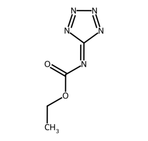 CCOC(=O)N=C1N=NN=N1